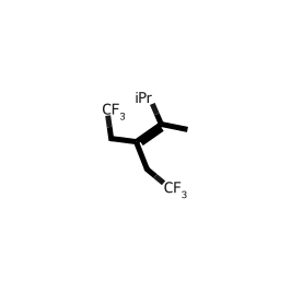 CC(=C(CC(F)(F)F)CC(F)(F)F)C(C)C